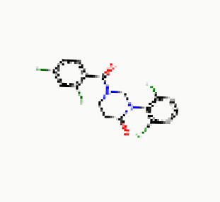 O=C(c1ccc(F)cc1F)N1CCC(=O)N(c2c(Cl)cccc2Cl)C1